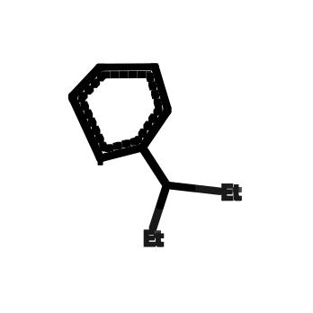 CCC(CC)c1[c]cccc1